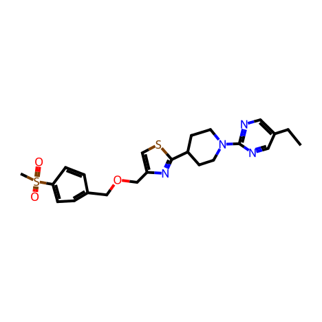 CCc1cnc(N2CCC(c3nc(COCc4ccc(S(C)(=O)=O)cc4)cs3)CC2)nc1